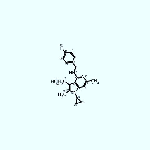 Cc1cc2c(c(NCc3ccc(F)cc3)n1)c(C)c(C)n2C1CC1.Cl